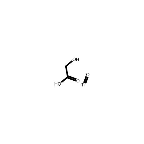 O=C(O)CO.[O]=[Ti]